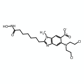 Cn1c(CCCCCCC(=O)NO)nc2cc(N(CCCl)CCCl)c([N+](=O)[O-])cc21